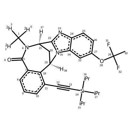 [2H]C([2H])([2H])N1C(=O)c2cccc(C#C[Si](C(C)C)(C(C)C)C(C)C)c2[C@H]2C[C@@H]1c1nc3ccc(OC(C)(F)F)cc3n12